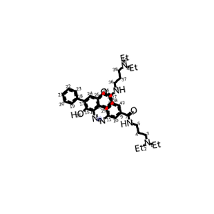 CCN(CC)CCCNC(=O)c1cc(/N=N\c2c(O)c(-c3ccccc3)cc3ccccc23)cc(C(=O)NCCCN(CC)CC)c1